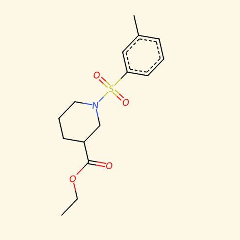 CCOC(=O)C1CCCN(S(=O)(=O)c2cccc(C)c2)C1